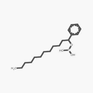 CCCCCCCCCCCC(OP(O)O)c1ccccc1